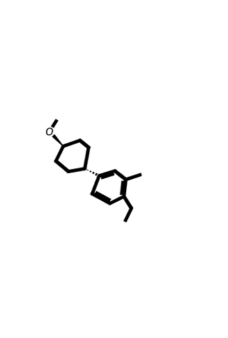 CCc1ccc([C@H]2CC[C@H](OC)CC2)cc1C